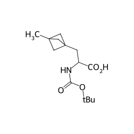 CC12CC(CC(NC(=O)OC(C)(C)C)C(=O)O)(C1)C2